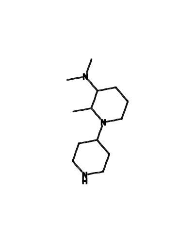 CC1C(N(C)C)CCCN1C1CCNCC1